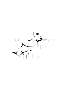 CCCCc1nnn(C[C@@]2(C)[C@H](C(=O)[O-])N3C(=O)C[C@H]3S2(=O)=O)c1CCCC.[Na+]